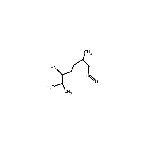 CC(C[C]=O)CCC([NH])C(C)C